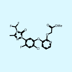 COC(=O)COc1ncccc1Oc1cc(-n2nc(C)n(C(F)F)c2=O)c(F)cc1Cl